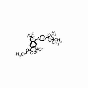 CCOC(=O)c1cc(CC(F)(F)F)c(CN2CCN(C(=O)OC(C)(C)C)CC2)cc1[N+](=O)[O-]